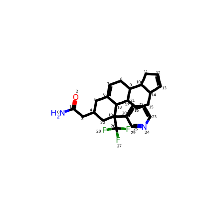 NC(=O)CC1CC2=CCC3C4CC=CC4CCC3C2C(c2cccnc2)(C(F)(F)F)C1